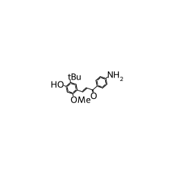 COc1cc(O)c(C(C)(C)C)cc1/C=C/C(=O)c1ccc(N)cc1